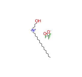 CCCCCCCCCCCCCCCC[N+](C)(C)CCCCO.O=C([O-])C(F)(F)F